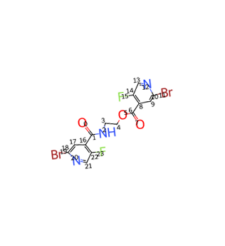 O=C(NCCOC(=O)c1cc(Br)ncc1F)c1cc(Br)ncc1F